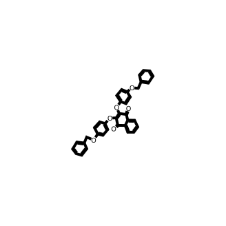 O=C1C(Oc2ccc(OCc3ccccc3)cc2)=C(Oc2ccc(OCc3ccccc3)cc2)C(=O)c2ccccc21